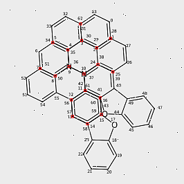 c1ccc(-c2ccccc2N(c2ccc3c(c2)oc2ccccc23)c2ccccc2-c2ccccc2N(c2ccc3c(c2)oc2ccccc23)c2ccccc2-c2ccccc2)cc1